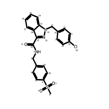 CS(=O)(=O)c1ccc(CNC(=O)c2nn(Cc3ccc(Cl)cc3)c3ccccc23)cc1